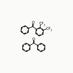 O=C(c1ccccc1)c1cccc(C(F)(F)F)c1C(F)(F)F.O=C(c1ccccc1)c1ccccc1